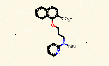 CCCCN(CCCOc1c(C(=O)O)ccc2ccccc12)c1ccccn1